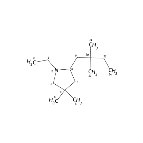 CCN1CC(C)(C)CC1CC(C)(C)CC